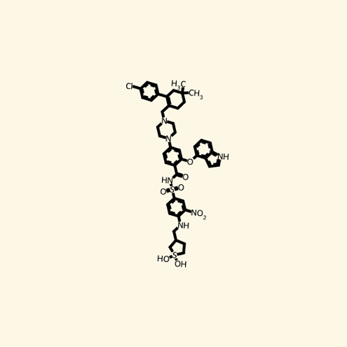 CC1(C)CCC(CN2CCN(c3ccc(C(=O)NS(=O)(=O)c4ccc(NCC5CCS(O)(O)C5)c([N+](=O)[O-])c4)c(Oc4cccc5[nH]ccc45)c3)CC2)=C(c2ccc(Cl)cc2)C1